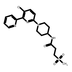 CS(=O)(=O)CCC(=O)NC1CCN(c2ccc(Cl)c(-c3ccccn3)n2)CC1